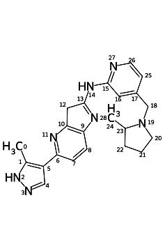 Cc1[nH]ncc1-c1ccc2c(n1)CC(Nc1cc(CN3CCCC3C)ccn1)=N2